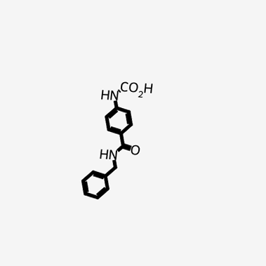 O=C(O)Nc1ccc(C(=O)NCc2ccccc2)cc1